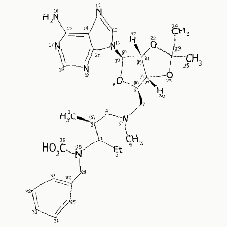 CCC([C@@H](C)CN(C)C[C@H]1O[C@@H](n2cnc3c(N)ncnc32)[C@@H]2OC(C)(C)O[C@@H]21)N(Cc1ccccc1)C(=O)O